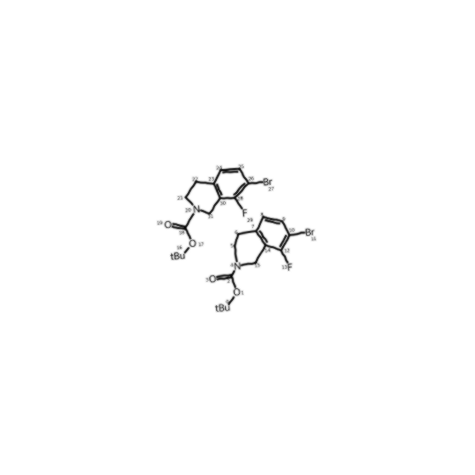 CC(C)(C)OC(=O)N1CCc2ccc(Br)c(F)c2C1.CC(C)(C)OC(=O)N1CCc2ccc(Br)c(F)c2C1